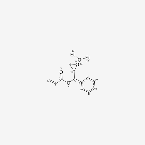 C=CC(=O)OC(c1ccccc1)C1CO1.CCOCC